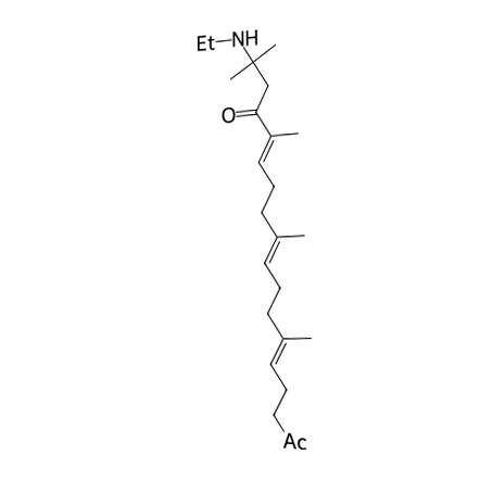 CCNC(C)(C)CC(=O)/C(C)=C/CC/C(C)=C/CC/C(C)=C/CCC(C)=O